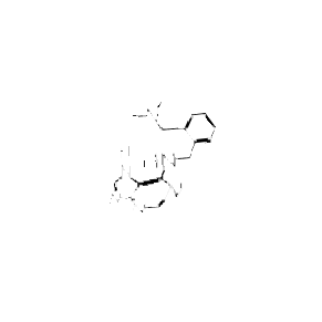 CN(C)Cc1ccccc1CNc1ncnc2nc[nH]c12